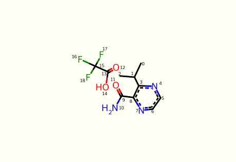 CC(C)c1nccnc1C(N)=O.O=C(O)C(F)(F)F